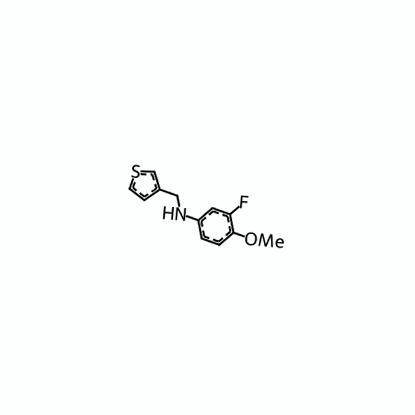 COc1ccc(NCc2ccsc2)cc1F